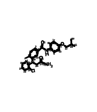 Cc1ccc(C(=O)Nc2ccc(OCC(C)C)cc2)cc1N(CC(N)=O)c1ncccc1Cl